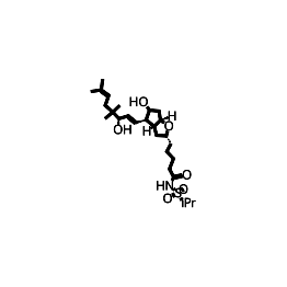 CC(C)=CCC(C)(C)[C@H](O)C=C[C@H]1C(O)C[C@@H]2O[C@H](CCCCC(=O)NS(=O)(=O)C(C)C)C[C@@H]21